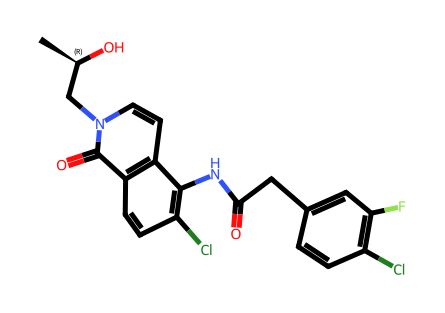 C[C@@H](O)Cn1ccc2c(NC(=O)Cc3ccc(Cl)c(F)c3)c(Cl)ccc2c1=O